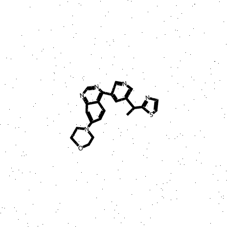 CC(c1cncc(-c2ncnc3cc(N4CCOCC4)ccc23)c1)c1nccs1